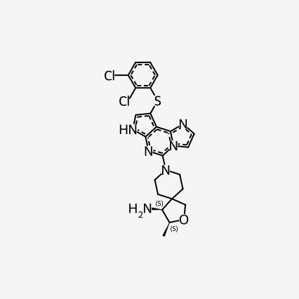 C[C@@H]1OCC2(CCN(c3nc4[nH]cc(Sc5cccc(Cl)c5Cl)c4c4nccn34)CC2)[C@@H]1N